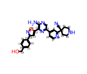 N#CC1(c2cc(-c3cnc(N)c(-c4cc(-c5ccc(CO)cc5)no4)n3)ccn2)CCNCC1